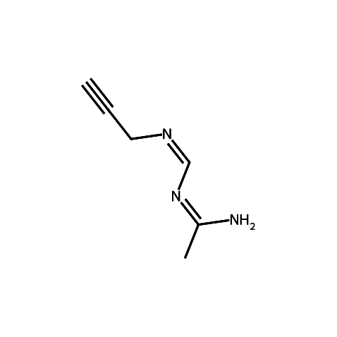 C#CC/N=C\N=C(\C)N